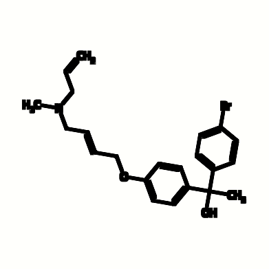 C=CCN(C)CC=CCOc1ccc(C(C)(O)c2ccc(Br)cc2)cc1